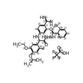 CCOc1cc(C(Nc2ccc(C(=N)N)cc2)C(=O)NNC(=O)c2ncccc2Br)c(F)cc1OC(C)C.O=C(O)C(F)(F)F